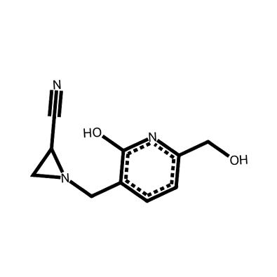 N#CC1CN1Cc1ccc(CO)nc1O